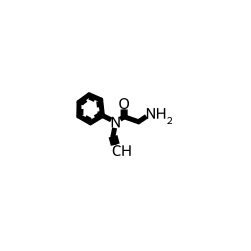 C#CN(C(=O)CN)c1ccccc1